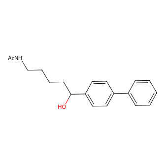 CC(=O)NCCCCC(O)c1ccc(-c2ccccc2)cc1